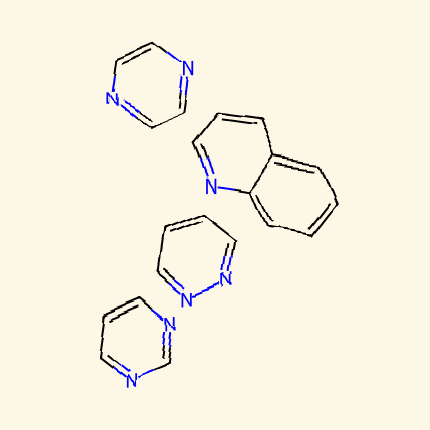 c1ccc2ncccc2c1.c1ccnnc1.c1cnccn1.c1cncnc1